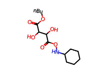 CCCCOC(=O)C(O)C(O)C(=O)ONC1CCCCC1